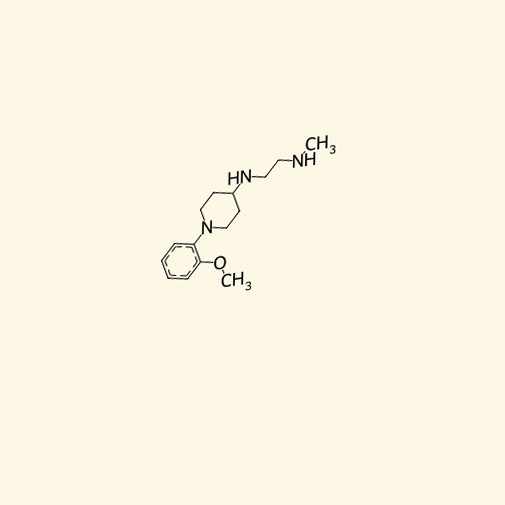 CNCCNC1CCN(c2ccccc2OC)CC1